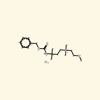 COCC[N+](C)(C)CCC(C)(C)NC(=O)OCc1ccccc1.[Cl-]